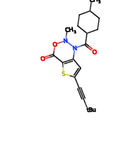 CC1CCC(C(=O)N2c3cc(C#CC(C)(C)C)sc3C(=O)ON2C)CC1